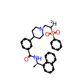 [2H]C(CN1CCC(c2cccc(C(=O)N[C@H](C)c3cccc4ccccc34)c2)CC1)S(=O)(=O)c1ccccc1